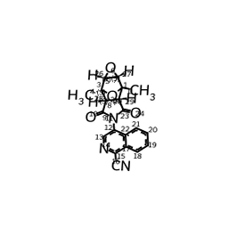 CC12O[C@](C)([C@@H]3O[C@@H]31)[C@H]1C(=O)N(c3cnc(C#N)c4ccccc34)C(=O)[C@H]12